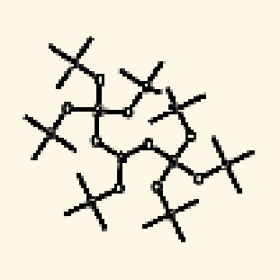 C[Si](C)(C)O[Si](O[Si](O[Si](C)(C)C)(O[Si](C)(C)C)O[Si](C)(C)C)O[Si](O[Si](C)(C)C)(O[Si](C)(C)C)O[Si](C)(C)C